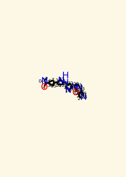 CN(C)C(=O)c1ccc(-c2ccc(Nc3cncc(N4CCN(Cc5cccnc5)C4=O)c3)nc2)cc1